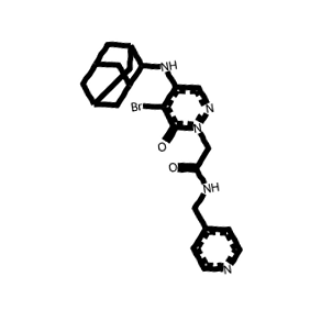 O=C(Cn1ncc(NC2C3CC4CC(C3)CC2C4)c(Br)c1=O)NCc1ccncc1